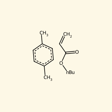 C=CC(=O)OCCCC.Cc1ccc(C)cc1